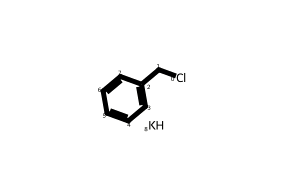 ClCc1ccccc1.[KH]